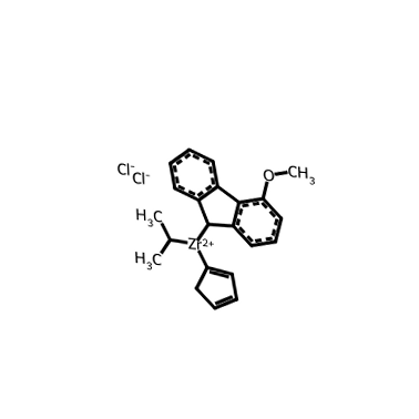 COc1cccc2c1-c1ccccc1[CH]2[Zr+2]([C]1=CC=CC1)[CH](C)C.[Cl-].[Cl-]